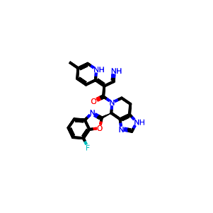 CC1=CN/C(=C(\C=N)C(=O)N2CCc3[nH]cnc3[C@H]2c2nc3cccc(F)c3o2)C=C1